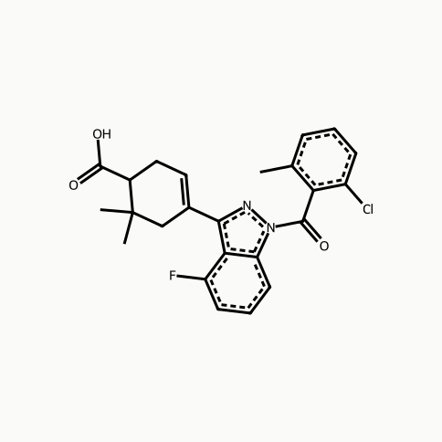 Cc1cccc(Cl)c1C(=O)n1nc(C2=CCC(C(=O)O)C(C)(C)C2)c2c(F)cccc21